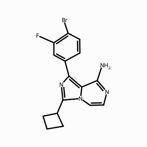 Nc1nccn2c(C3CCC3)nc(-c3ccc(Br)c(F)c3)c12